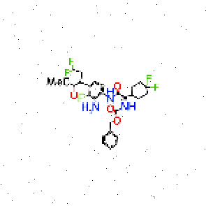 COC(=O)C(CC(F)F)c1ccc(NC(=O)[C@@H](NC(=O)OCc2ccccc2)C2CCC(F)(F)CC2)c(N)c1F